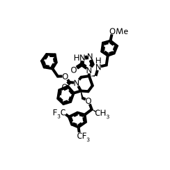 COc1ccc(CNC[C@]2(n3cn[nH]c3=O)CC[C@](CO[C@H](C)c3cc(C(F)(F)F)cc(C(F)(F)F)c3)(c3ccccc3)N(C(=O)OCc3ccccc3)C2)cc1